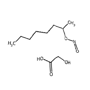 CCCCCCC(C)ON=O.O=C(O)CO